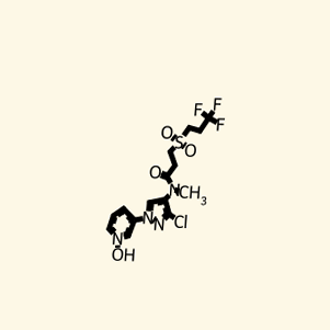 CN(C(=O)CCS(=O)(=O)CCC(F)(F)F)c1cn(-c2ccc[n+](O)c2)nc1Cl